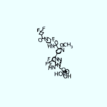 COc1ncc(-c2cc(C(F)(F)F)c3c(=N)n(COP(=O)(O)O)cnn23)cc1C(=O)N[C@@H]1CN(C(=O)C2CC(F)(F)C2)C[C@@H]1F